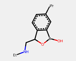 CCNCC1OB(O)c2cc(C(C)C)ccc21